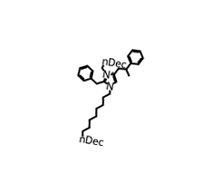 CCCCCCCCCCCCCCCCCCn1cc(CC(C)c2ccccc2)[n+](CCCCCCCCCCC)c1Cc1ccccc1